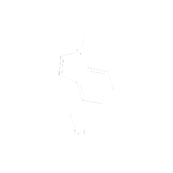 Cn1ccc2c(CN)cccc21